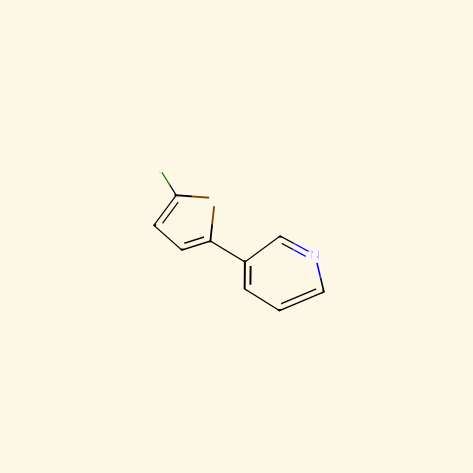 Clc1ccc(-c2cccnc2)s1